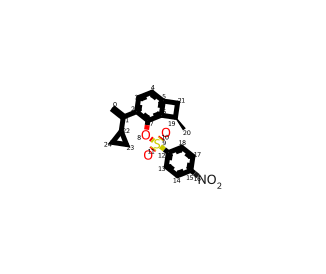 C=C(c1ccc2c(c1OS(=O)(=O)c1ccc([N+](=O)[O-])cc1)[C@H](C)C2)C1CC1